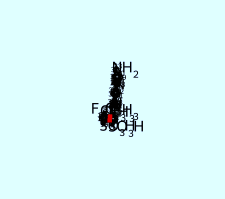 Cc1ccc(S(=O)(=O)O)cc1.Cc1ccc(S(=O)(=O)O)cc1.Cn1nc(-c2ccc(-c3cn4c(n3)CCC(CN)C4)cc2)cc1C(F)(F)F